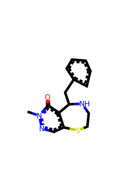 Cn1ncc2c(c1=O)C(Cc1ccccc1)NCCS2